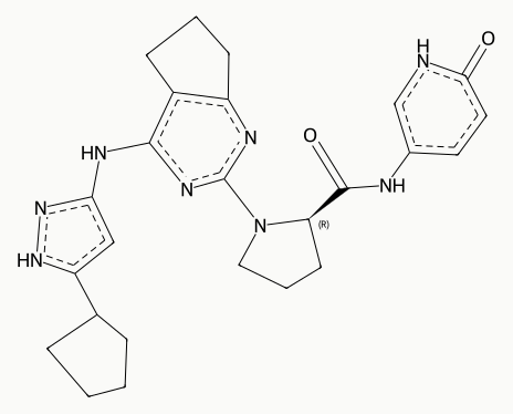 O=C(Nc1ccc(=O)[nH]c1)[C@H]1CCCN1c1nc2c(c(Nc3cc(C4CCCC4)[nH]n3)n1)CCC2